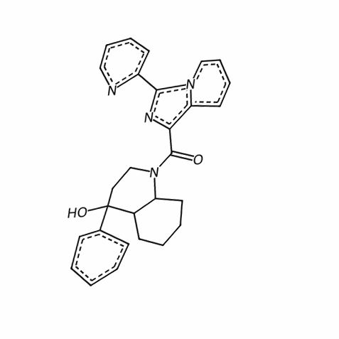 O=C(c1nc(-c2ccccn2)n2ccccc12)N1CCC(O)(c2ccccc2)C2CCCCC21